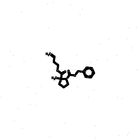 C=CCCOC(=O)C1(C)CCCN1C(=O)OCc1ccccc1